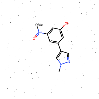 CO[N+](=O)c1cc(O)cc(-c2cnn(C)c2)c1